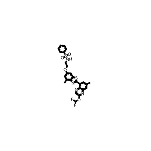 Cc1cc(-c2nc3c(C)cc(OCCNS(=O)(=O)c4ccccc4)cc3s2)c2ncc(OC(F)F)nc2c1